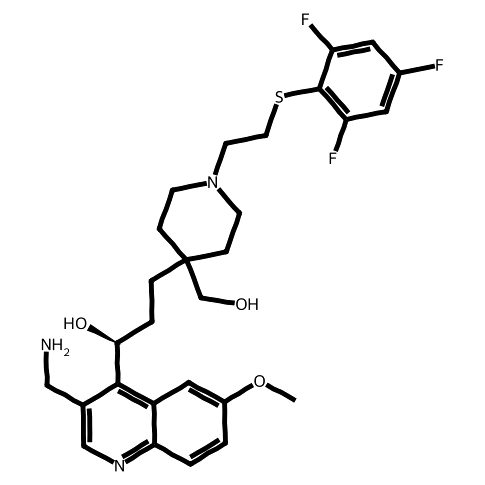 COc1ccc2ncc(CN)c([C@@H](O)CCC3(CO)CCN(CCSc4c(F)cc(F)cc4F)CC3)c2c1